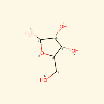 BC1OC(CO)[C@@H](O)[C@H]1O